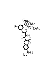 CCN(CC)c1ccc2cc(C(=O)NC(COC(OCOC(C)=O)(O[PH2]=O)OC(C)=O)Cc3cccc(F)c3)c(=O)oc2c1